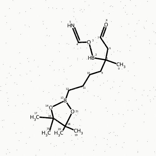 CC(BOC=N)(CC=O)CCCCB1OC(C)(C)C(C)(C)O1